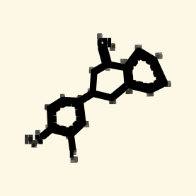 C=C1CC(c2ccc(N)c(F)c2)Cc2ccccc21